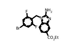 CCOC(=O)c1ccc2c(c1)nc(N)n2Cc1c(F)cc(Br)cc1F